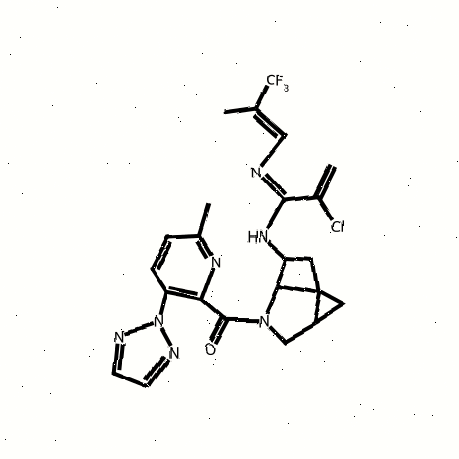 C=C(Cl)/C(=N\C=C(/C)C(F)(F)F)NC1CC23CC2CN(C(=O)c2nc(C)ccc2-n2nccn2)C13